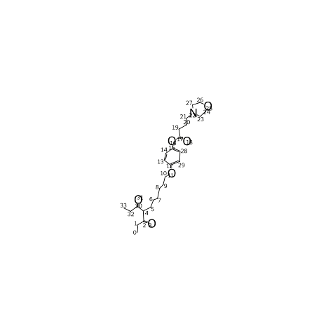 CCC(=O)C(CCCCCCOc1ccc(OC(=O)CCCN2CCOCC2)cc1)C(=O)CC